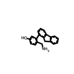 NCc1ccc(O)cc1-c1cccc2c1Cc1ccccc1-2